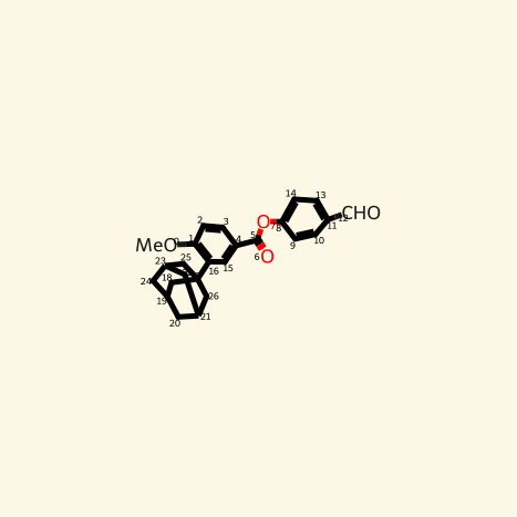 COc1ccc(C(=O)Oc2ccc(C=O)cc2)cc1C12CC3CC(CC(C3)C1)C2